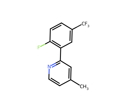 Cc1ccnc(-c2cc(C(F)(F)F)ccc2F)c1